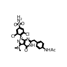 CC(=O)Nc1ccc(Cc2nc3c(c(N(C)C)nn3-c3c(Cl)cc(S(N)(=O)=O)cc3Cl)c(=O)[nH]2)cc1